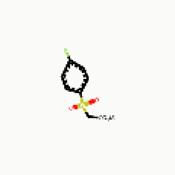 CCOC(=O)CS(=O)(=O)c1ccc(F)cc1